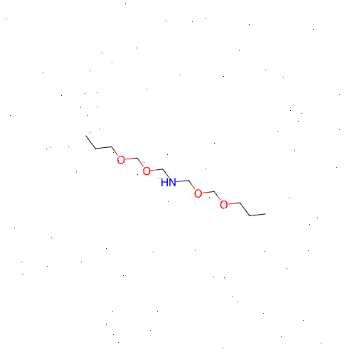 CCCOCOCNCOCOCCC